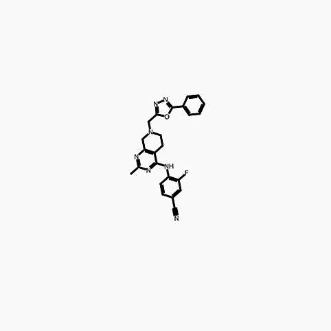 Cc1nc2c(c(Nc3ccc(C#N)cc3F)n1)CCN(Cc1nnc(-c3ccccc3)o1)C2